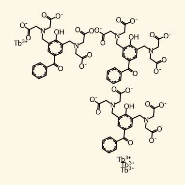 O=C([O-])CN(CC(=O)[O-])Cc1cc(C(=O)c2ccccc2)cc(CN(CC(=O)[O-])CC(=O)[O-])c1O.O=C([O-])CN(CC(=O)[O-])Cc1cc(C(=O)c2ccccc2)cc(CN(CC(=O)[O-])CC(=O)[O-])c1O.O=C([O-])CN(CC(=O)[O-])Cc1cc(C(=O)c2ccccc2)cc(CN(CC(=O)[O-])CC(=O)[O-])c1O.[Tb+3].[Tb+3].[Tb+3].[Tb+3]